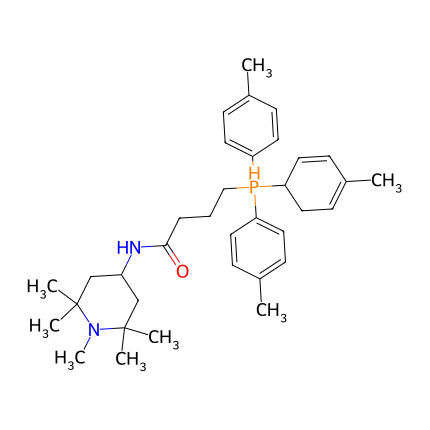 CC1=CCC([PH](CCCC(=O)NC2CC(C)(C)N(C)C(C)(C)C2)(c2ccc(C)cc2)c2ccc(C)cc2)C=C1